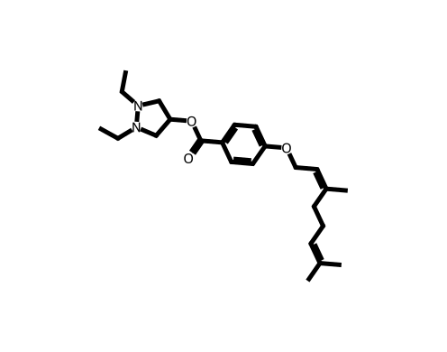 CCN1CC(OC(=O)c2ccc(OCC=C(C)CCC=C(C)C)cc2)CN1CC